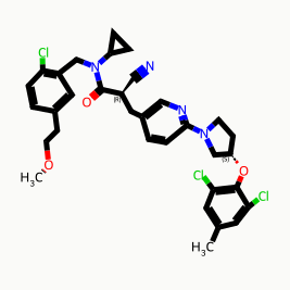 COCCc1ccc(Cl)c(CN(C(=O)[C@@H](C#N)Cc2ccc(N3CC[C@H](Oc4c(Cl)cc(C)cc4Cl)C3)nc2)C2CC2)c1